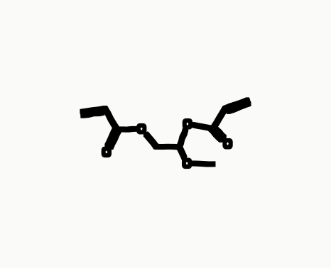 C=CC(=O)OCC(OC)OC(=O)C=C